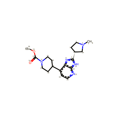 CN1CC[C@@H](c2nc3c(C4CCN(C(=O)OC(C)(C)C)CC4)ccnc3[nH]2)C1